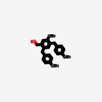 COc1ccc(Cc2cc(Cc3ccc(OC)cc3)c(OC)cc2CO)cc1